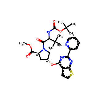 COC(=O)[C@@H]1C[C@@H](Oc2nc(-c3ccccn3)nc3sccc23)CN1C(=O)C(NC(=O)OC(C)(C)C)C(C)(C)C